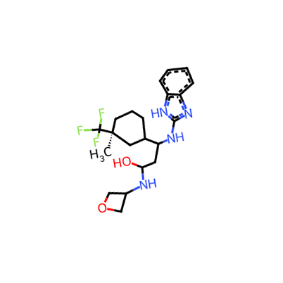 C[C@]1(C(F)(F)F)CCCC(C(CC(O)NC2COC2)Nc2nc3ccccc3[nH]2)C1